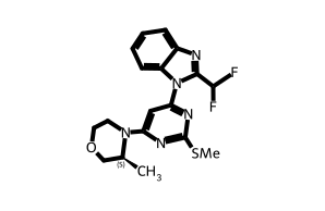 CSc1nc(N2CCOC[C@@H]2C)cc(-n2c(C(F)F)nc3ccccc32)n1